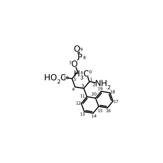 CC(N)C(CC(COP=O)C(=O)O)c1cccc2ccccc12